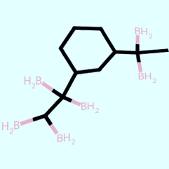 BC(B)C(B)(B)C1CCCC(C(B)(B)C)C1